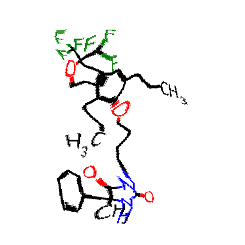 CCCc1cc2c(c(CCC)c1OCCCCN1C(=O)NC(C)(c3ccccc3)C1=O)COC2(C(F)(F)F)C(F)(F)F